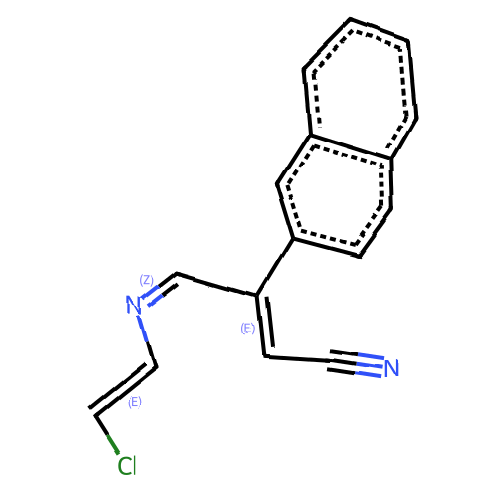 N#C/C=C(/C=N\C=C\Cl)c1ccc2ccccc2c1